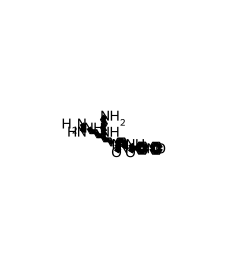 N=C(N)NCCCC(CCCn1ccc(NC(=O)c2ccc(N3CCOCC3)cc2)nc1=O)NCCCN